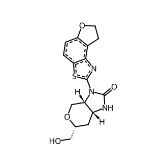 O=C1N[C@@H]2C[C@H](CO)OC[C@@H]2N1c1nc2c3c(ccc2s1)OCC3